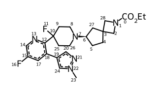 CCOC(=O)N1CC2(CC[C@@H](N3CCC(F)(c4ncc(F)cc4-c4cnn(C)c4)CC3)C2)C1